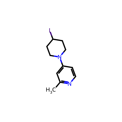 Cc1cc(N2CCC(I)CC2)ccn1